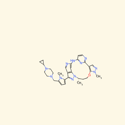 C[C@H]1CCOc2c(cnn2C)-c2nccc(n2)Nc2cc3c(cn2)c(-c2ccc(CN4CCN(C5CC5)CC4)n2C)nn31